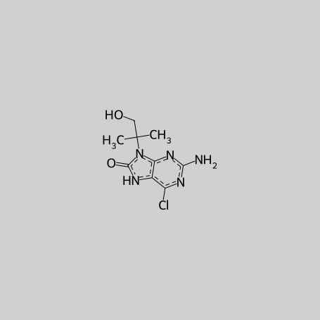 CC(C)(CO)n1c(=O)[nH]c2c(Cl)nc(N)nc21